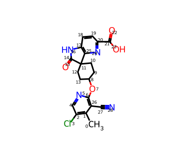 Cc1c(Cl)cnc(OC2CCC3(CC2)C(=O)Nc2ccc(C(=O)O)nc23)c1C#N